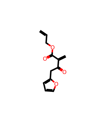 C=CCOC(=O)C(=C)C(=O)Cc1ccco1